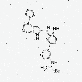 C=C(Nc1cncc(-c2ccc3[nH]nc(-c4cc5c(-c6cccs6)cncc5[nH]4)c3n2)c1)C(C)(C)C